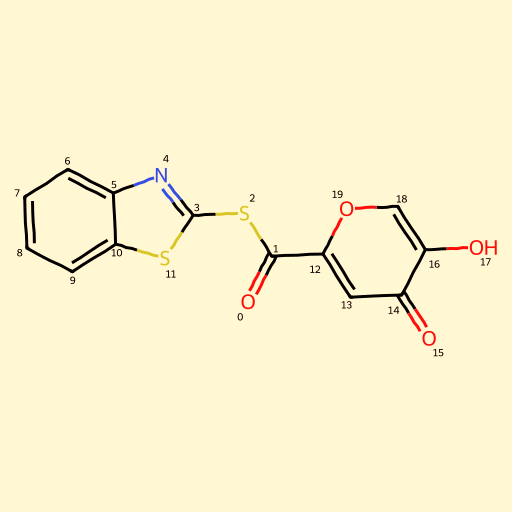 O=C(Sc1nc2ccccc2s1)c1cc(=O)c(O)co1